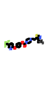 Cc1ncsc1CCN1CCN(C(=O)Oc2ccc(Oc3ccc(C(F)(F)F)cn3)cc2)CC1